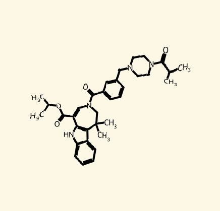 CC(C)OC(=O)C1=CN(C(=O)c2cccc(CN3CCN(C(=O)C(C)C)CC3)c2)CC(C)(C)c2c1[nH]c1ccccc21